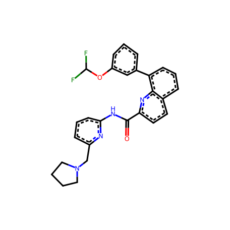 O=C(Nc1cccc(CN2CCCC2)n1)c1ccc2cccc(-c3cccc(OC(F)F)c3)c2n1